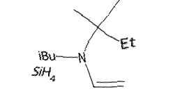 C=CN(C(C)CC)C(C)(C)CC.[SiH4]